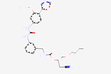 CCCCOC[C@@H](CC#N)OC(=O)NCc1cccc(NC(=O)Nc2ccc(-c3cnco3)c(OC)c2)c1